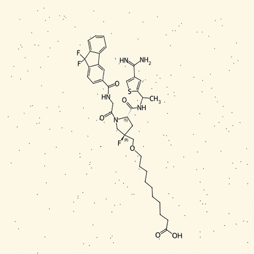 CC(NC(=O)[C@@H]1C[C@](F)(COCCCCCCCCCC(=O)O)CN1C(=O)CNC(=O)c1ccc2c(c1)-c1ccccc1C2(F)F)c1cc(C(=N)N)cs1